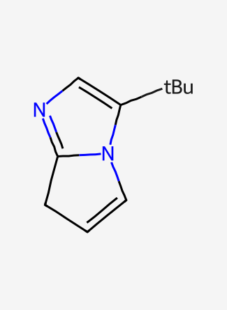 CC(C)(C)c1cnc2n1C=CC2